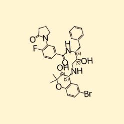 CC1(C)Oc2ccc(Br)cc2[C@H](NC[C@H](O)[C@H](Cc2ccccc2)NC(=O)c2ccc(F)c(N3CCCC3=O)c2)[C@H]1O